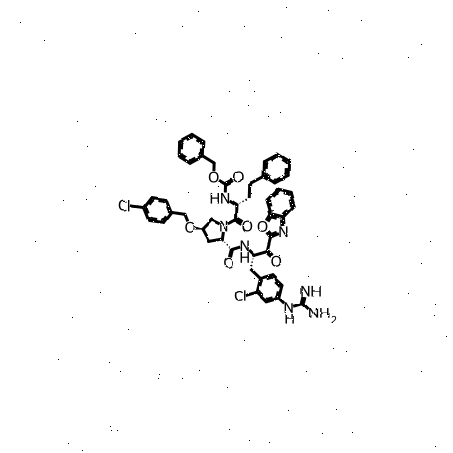 N=C(N)Nc1ccc(C[C@H](NC(=O)[C@@H]2C[C@@H](OCc3ccc(Cl)cc3)CN2C(=O)[C@@H](CCc2ccccc2)NC(=O)OCc2ccccc2)C(=O)c2nc3ccccc3o2)c(Cl)c1